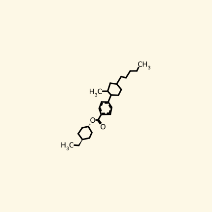 CCCCCC1CCC(c2ccc(C(=O)O[C@H]3CC[C@H](CC)CC3)cc2)C(C)C1